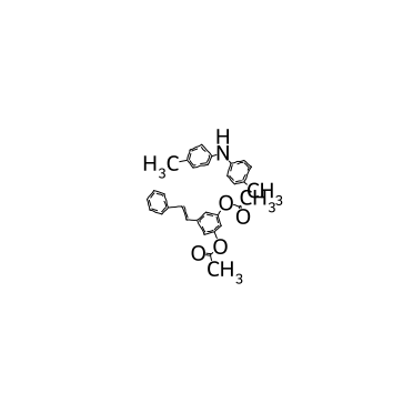 CC(=O)Oc1cc(C=Cc2ccccc2)cc(OC(C)=O)c1.Cc1ccc(Nc2ccc(C)cc2)cc1